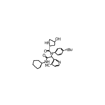 CC(C)(C)c1ccc(N(C(=O)C2CC(O)CN2)C(C(=O)NC2CCCCC2)c2cnccc2C#N)cc1